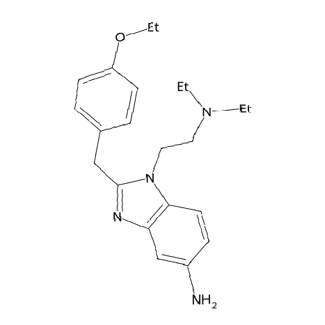 CCOc1ccc(Cc2nc3cc(N)ccc3n2CCN(CC)CC)cc1